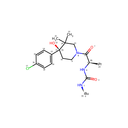 CC[C@H](C)NC(=O)N[C@@H](C(=O)N1CC[C@](O)(c2ccc(Cl)cc2)C(C)(C)C1)C(C)C